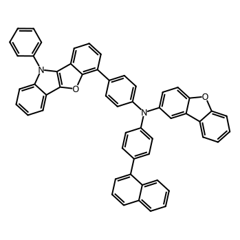 c1ccc(-n2c3ccccc3c3oc4c(-c5ccc(N(c6ccc(-c7cccc8ccccc78)cc6)c6ccc7oc8ccccc8c7c6)cc5)cccc4c32)cc1